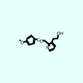 COc1ccc(COCc2ncccc2CCO)cc1